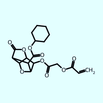 C=CC(=O)OCC(=O)OC1C2OC(=O)C3C2OC1C3C(=O)OC1CCCCC1